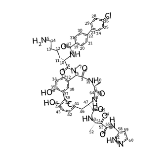 C[C@@H]1NC(=O)[C@@H](N(C)C(=O)[C@H](CCCCN)NC(=O)c2ccc(-c3ccc(Cl)cc3)cc2)c2ccc(O)c(c2)-c2cc(ccc2O)C[C@@H](C(=O)N[C@@H](C)C(=O)C(=O)Nc2ccn[nH]2)NC1=O